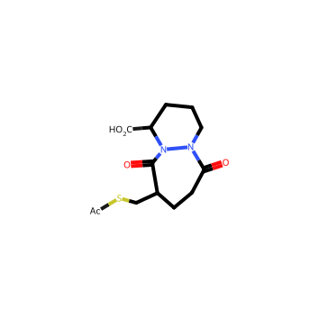 CC(=O)SCC1CCC(=O)N2CCCC(C(=O)O)N2C1=O